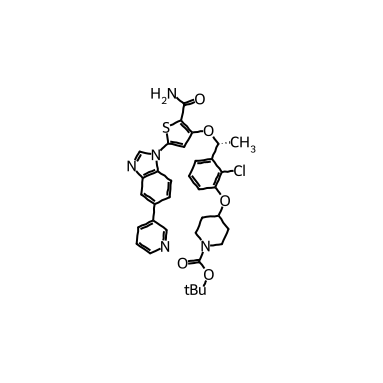 C[C@@H](Oc1cc(-n2cnc3cc(-c4cccnc4)ccc32)sc1C(N)=O)c1cccc(OC2CCN(C(=O)OC(C)(C)C)CC2)c1Cl